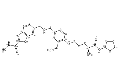 COc1cc(CNCc2ccc3cc(C(=O)NO)sc3c2)ccc1OCCC[C@H](N)C(=O)OC1CCCC1